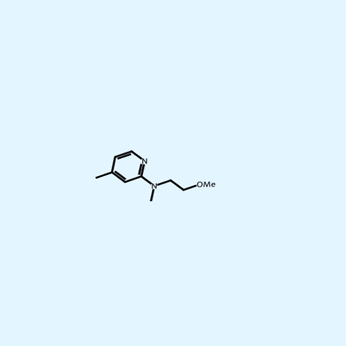 COCCN(C)c1cc(C)ccn1